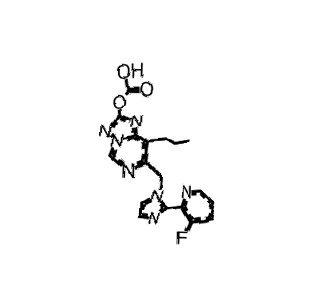 CCCc1c(Cn2ccnc2-c2ncccc2F)ncn2nc(OC(=O)O)nc12